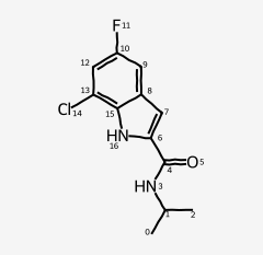 CC(C)NC(=O)c1cc2cc(F)cc(Cl)c2[nH]1